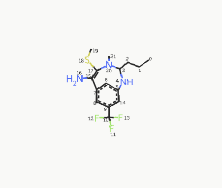 CCCC1Nc2cc(cc(C(F)(F)F)c2)/C(N)=C(/SC)N1C